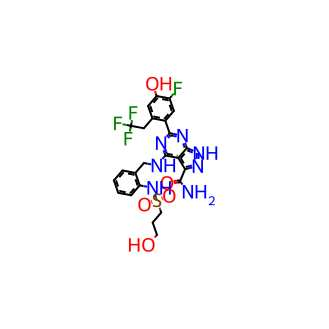 NC(=O)c1n[nH]c2nc(-c3cc(F)c(O)cc3CC(F)(F)F)nc(NCc3ccccc3NS(=O)(=O)CCCO)c12